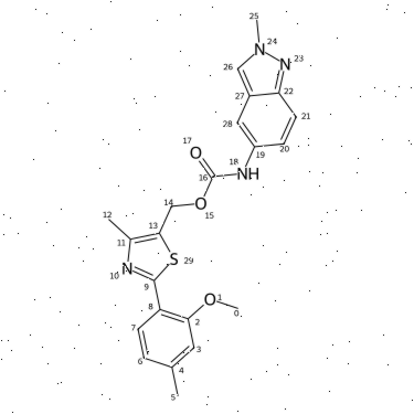 COc1cc(C)ccc1-c1nc(C)c(COC(=O)Nc2ccc3nn(C)cc3c2)s1